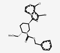 COC[C@@H]1CC[C@@H](c2nc(Br)c3c(Cl)nccn23)CN1C(=O)OCc1ccccc1